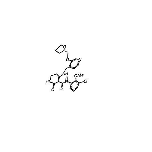 COc1c(Cl)cccc1NC(=S)C1=C(NCc2ccncc2OC[C@@H]2CCCO2)CCNC1=O